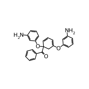 Nc1cccc(OC2=CC=CC(Oc3cccc(N)c3)(C(=O)c3ccccc3)C2)c1